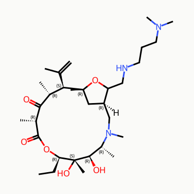 C=C(C)[C@@H]1[C@@H](C)C(=O)[C@@H](C)C(=O)O[C@H](CC)[C@@](C)(O)[C@H](O)[C@@H](C)N(C)C[C@H]2C[C@@]1(C)OC2CNCCCN(C)C